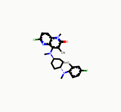 COc1cc(F)ccc1N(C)[C@H]1CC[C@H](N(C)c2c(C#N)c(=O)n(C)c3ccc(Cl)nc23)CC1